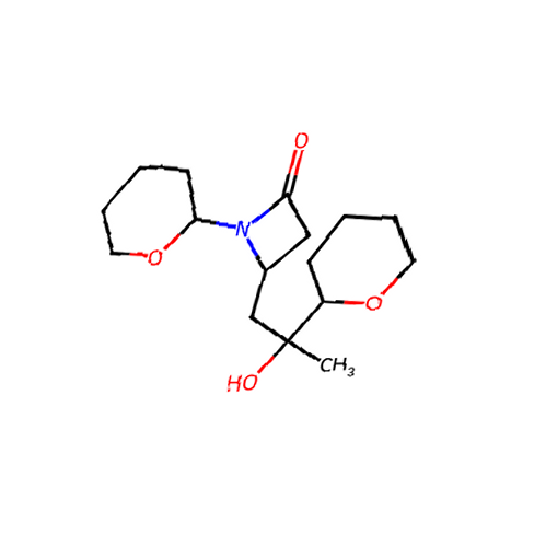 CC(O)(CC1CC(=O)N1C1CCCCO1)C1CCCCO1